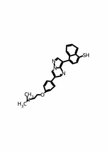 CN(C)CCOc1ccc(-c2cnc3c(-c4ccc(S)c5ccccc45)cnn3c2)cc1